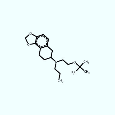 CCCN(CCOC(C)(C)C)C1CCc2c(ccc3c2OCO3)C1